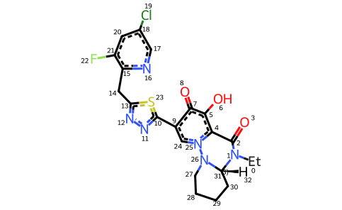 CCN1C(=O)c2c(O)c(=O)c(-c3nnc(Cc4ncc(Cl)cc4F)s3)cn2N2CCCC[C@@H]12